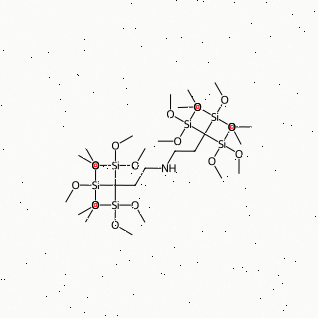 CO[Si](OC)(OC)C(CCNCCC([Si](OC)(OC)OC)([Si](OC)(OC)OC)[Si](OC)(OC)OC)([Si](OC)(OC)OC)[Si](OC)(OC)OC